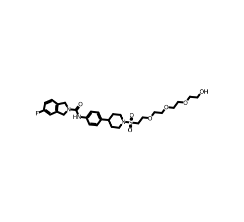 O=C(Nc1ccc(C2CCN(S(=O)(=O)CCOCCOCCOCCO)CC2)cc1)N1Cc2ccc(F)cc2C1